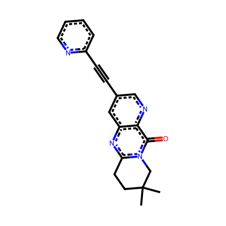 CC1(C)CCc2nc3cc(C#Cc4ccccn4)cnc3c(=O)n2C1